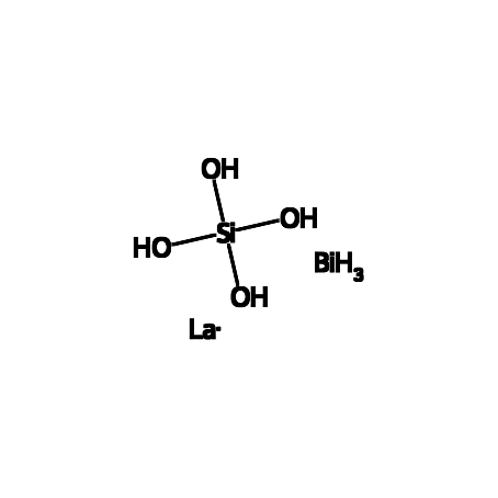 O[Si](O)(O)O.[BiH3].[La]